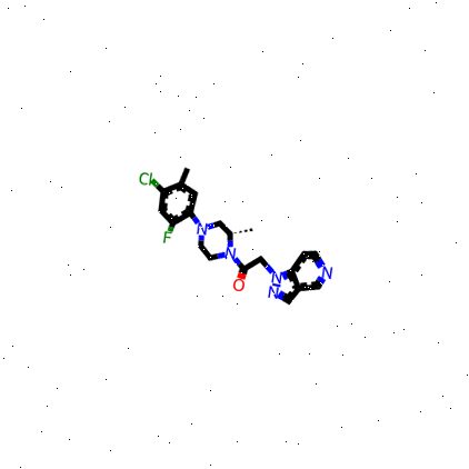 Cc1cc(N2CCN(C(=O)Cn3ncc4cnccc43)[C@@H](C)C2)c(F)cc1Cl